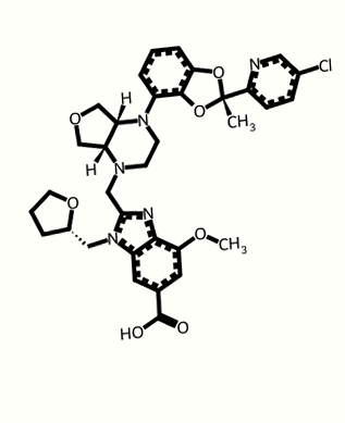 COc1cc(C(=O)O)cc2c1nc(CN1CCN(c3cccc4c3O[C@@](C)(c3ccc(Cl)cn3)O4)[C@H]3COC[C@H]31)n2C[C@@H]1CCCO1